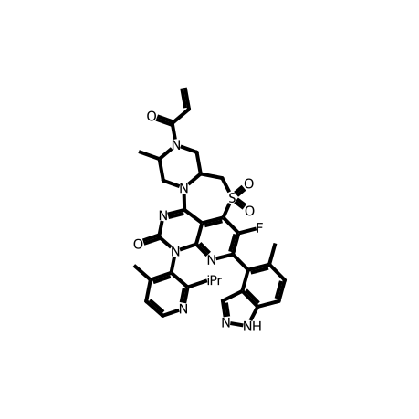 C=CC(=O)N1CC2CS(=O)(=O)c3c(F)c(-c4c(C)ccc5[nH]ncc45)nc4c3c(nc(=O)n4-c3c(C)ccnc3C(C)C)N2CC1C